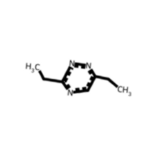 CCc1cnc(CC)nn1